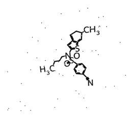 CCCCN(c1cc2c(s1)=CC(C)CC=2)S(=O)(=O)c1ccc(C#N)cc1